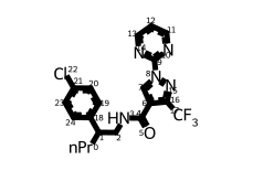 CCCC(CNC(=O)c1cn(-c2ncccn2)nc1C(F)(F)F)c1ccc(Cl)cc1